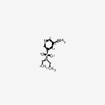 CCN(CC)S(=O)(=O)c1cncc(N)c1